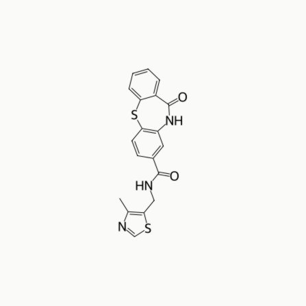 Cc1ncsc1CNC(=O)c1ccc2c(c1)NC(=O)c1ccccc1S2